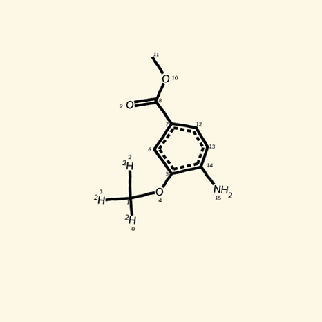 [2H]C([2H])([2H])Oc1cc(C(=O)OC)ccc1N